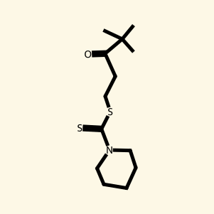 CC(C)(C)C(=O)CCSC(=S)N1CCCCC1